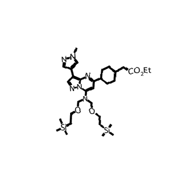 CCOC(=O)CC1CCC(c2cc(N(COCC[Si](C)(C)C)COCC[Si](C)(C)C)n3ncc(-c4cnn(C)c4)c3n2)CC1